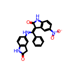 O=C1Cc2cc(N/C(=C3\C(=O)Nc4ccc([N+](=O)[O-])cc43)c3ccccc3)ccc2N1